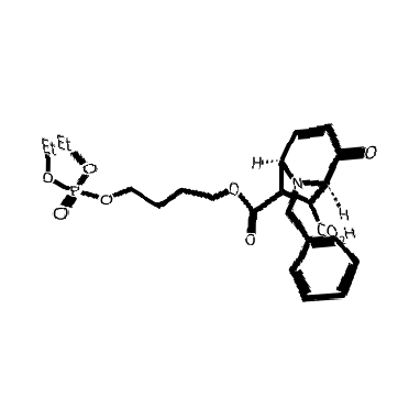 CCOP(=O)(OCC)OCCCCOC(=O)C1C(C(=O)O)[C@@H]2C(=O)C=C[C@H]1N2Cc1ccccc1